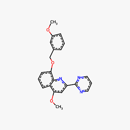 COc1cccc(COc2cccc3c(OC)cc(-c4ncccn4)nc23)c1